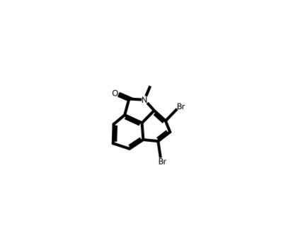 CN1C(=O)c2cccc3c(Br)cc(Br)c1c23